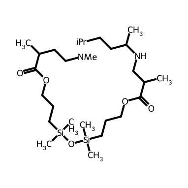 CNCCC(C)C(=O)OCCC[Si](C)(C)O[Si](C)(C)CCCOC(=O)C(C)CNC(C)CCC(C)C